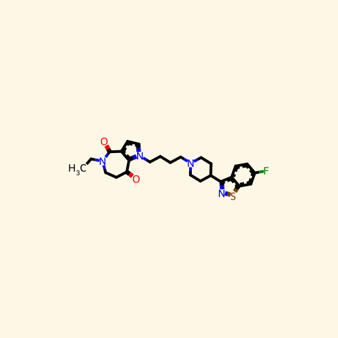 CCN1CCC(=O)c2c(ccn2CCCCN2CCC(c3nsc4cc(F)ccc34)CC2)C1=O